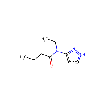 CCCC(=O)N(CC)c1cc[nH]n1